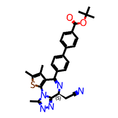 Cc1sc2c(c1C)C(c1ccc(-c3ccc(C(=O)OC(C)(C)C)cc3)cc1)=N[C@@H](CC#N)c1nnc(C)n1-2